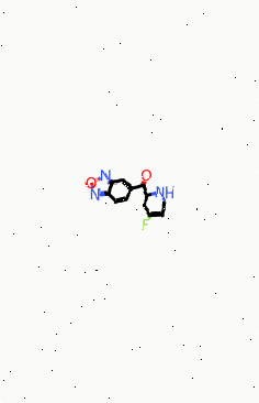 O=C(c1ccc2nonc2c1)C1CC(F)=CCN1